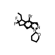 CCC1c2c(cc3c(cnn3C3CCCCO3)c2Br)CC1(F)F